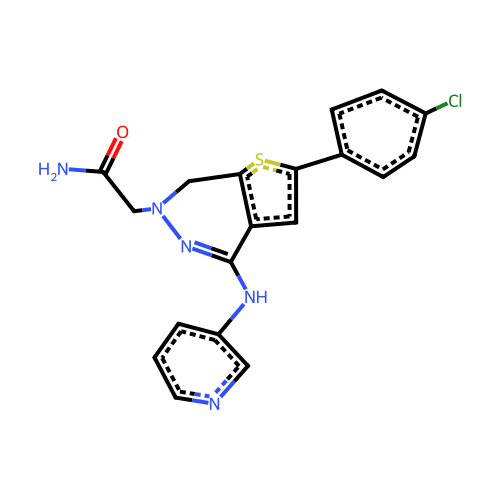 NC(=O)CN1Cc2sc(-c3ccc(Cl)cc3)cc2C(Nc2cccnc2)=N1